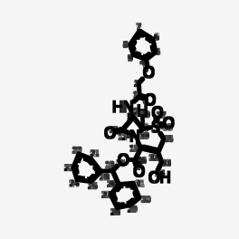 O=C(COc1ccccc1)N[C@H]1C(=O)N2C(C(=O)OC(c3ccccc3)c3ccccc3)=C(CO)CS(=O)(=O)[C@@H]12